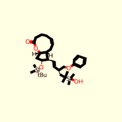 CC(C)(C[C@H](/C=C/[C@@H]1[C@H]2C/C=C\CCCC(=O)O[C@H]2C[C@H]1O[Si](C)(C)C(C)(C)C)COc1ccccc1)[Si](C)(C)O